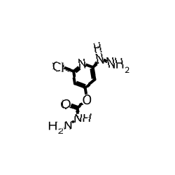 NNC(=O)Oc1cc(Cl)nc(NN)c1